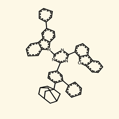 c1ccc(-c2ccc3c(c2)c2ccccc2n3-c2nc(-c3ccc(C45CC6CC(CC(C6)C4)C5)c(-c4ccccc4)c3)nc(-c3cccc4c3oc3ccccc34)n2)cc1